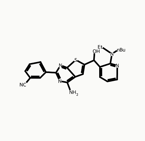 CCCCN(CC)c1ncccc1C(O)c1cc2c(N)nc(-c3cccc(C#N)c3)nc2s1